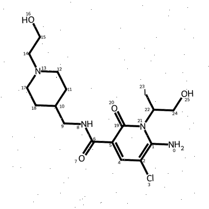 Nc1c(Cl)cc(C(=O)NCC2CCN(CCO)CC2)c(=O)n1C(I)CO